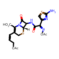 CC(=O)OC/C=C\C1=C(C(=O)O)N2C(=O)C(NC(=O)/C(=N\OC(C)=O)c3csc(N)n3)[C@@H]2SC1